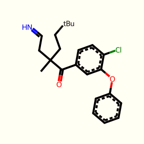 CC(C)(C)CCC(C)(CC=N)C(=O)c1ccc(Cl)c(Oc2ccccc2)c1